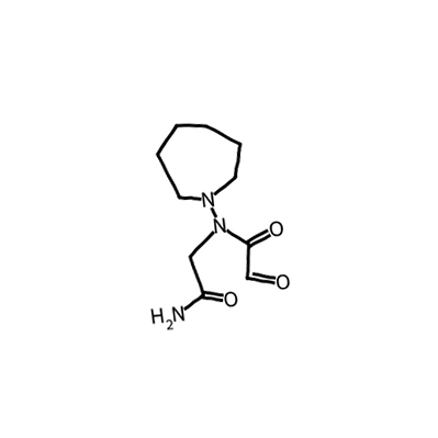 NC(=O)CN(C(=O)C=O)N1CCCCCC1